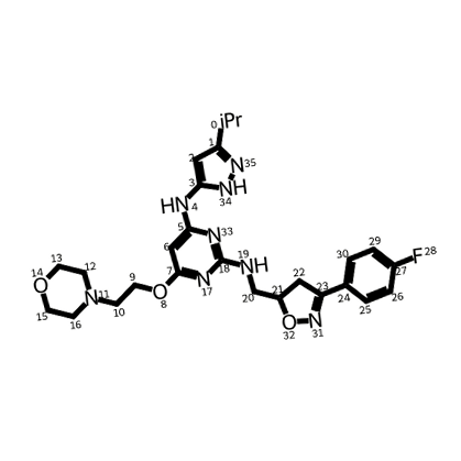 CC(C)c1cc(Nc2cc(OCCN3CCOCC3)nc(NCC3CC(c4ccc(F)cc4)=NO3)n2)[nH]n1